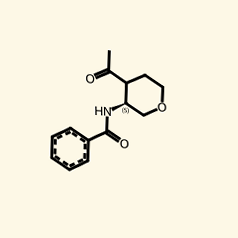 CC(=O)C1CCOC[C@H]1NC(=O)c1ccccc1